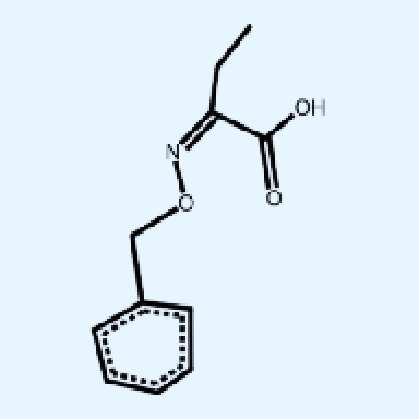 CCC(=NOCc1ccccc1)C(=O)O